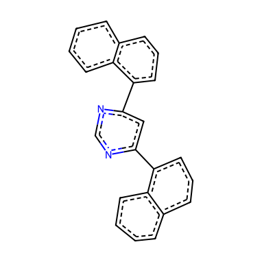 c1ccc2c(-c3cc(-c4cccc5ccccc45)ncn3)cccc2c1